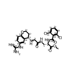 COC(=O)[C@H](CNC(=O)CN[C@H]1CCOc2ccc(NC(=N)N)cc21)NC(=O)c1c(Cl)cccc1Cl